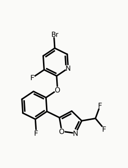 Fc1cc(Br)cnc1Oc1cccc(F)c1-c1cc(C(F)F)no1